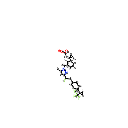 Cc1cc(/C(F)=C/c2ccc(C3(C(F)(F)F)CC3)cc2)nn1Cc1cccc(C2(CC(=O)O)CC2)c1